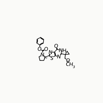 COCC1(c2nc3sc([C@H]4CCCN4C(=O)Oc4ccccc4)nc3c(=O)[nH]2)CC1